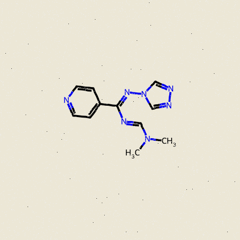 CN(C)/C=N/C(=N\n1cnnc1)c1ccncc1